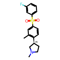 Cc1cc(S(=O)(=O)c2cccc(F)c2)ccc1[C@H]1CCN(C)C1